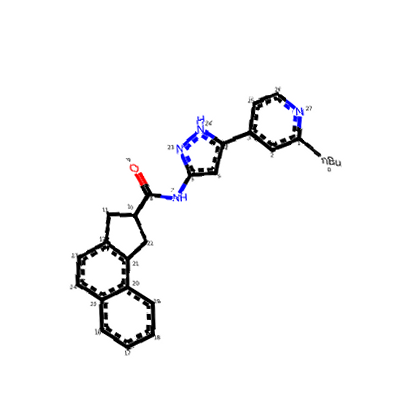 CCCCc1cc(-c2cc(NC(=O)C3Cc4ccc5ccccc5c4C3)n[nH]2)ccn1